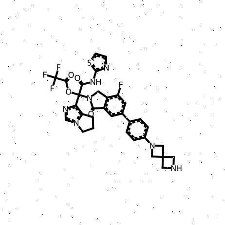 O=C1c2cc(-c3ccc(N4CC5(CNC5)C4)cc3)cc(F)c2CN1C(OC(=O)C(F)(F)F)(C(=O)Nc1nccs1)c1ncn2c1CCC2